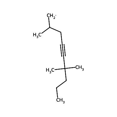 [CH2]C(C)CC#CC(C)(C)CCC